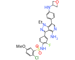 CCn1nc(-c2ccc(NS(=O)(=O)c3cc(OC)ccc3Cl)c(F)c2)c2c(N)ncc(-c3ccc(NC4COC4)cc3)c21